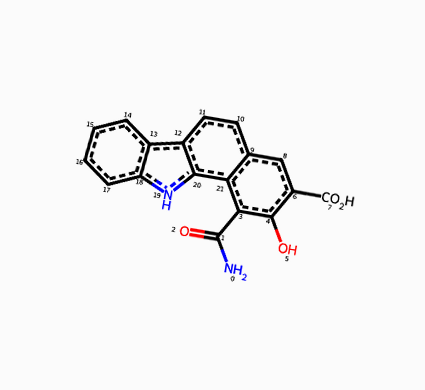 NC(=O)c1c(O)c(C(=O)O)cc2ccc3c4ccccc4[nH]c3c12